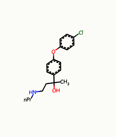 CCCNCCC(C)(O)c1ccc(Oc2ccc(Cl)cc2)cc1